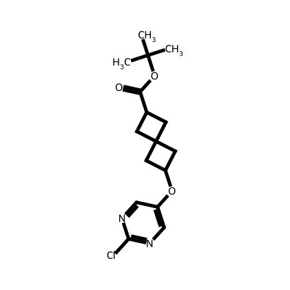 CC(C)(C)OC(=O)C1CC2(CC(Oc3cnc(Cl)nc3)C2)C1